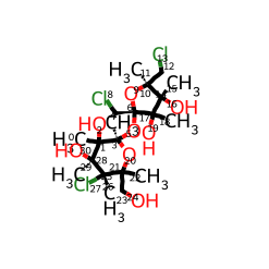 CC1(O)[C@@](C)(O[C@]2(CCl)O[C@@](C)(CCl)[C@](C)(O)C2(C)O)OC(C)(CO)[C@](C)(Cl)[C@@]1(C)O